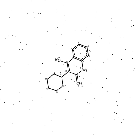 C=C1Nc2ccccc2C(C#N)=C1C1CCCCC1